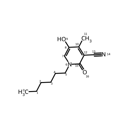 CCCCCCn1cc(O)c(C)c(C#N)c1=O